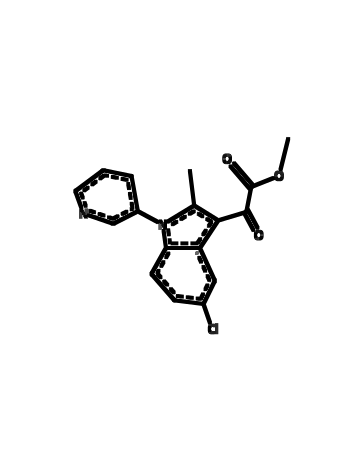 COC(=O)C(=O)c1c(C)n(-c2cccnc2)c2ccc(Cl)cc12